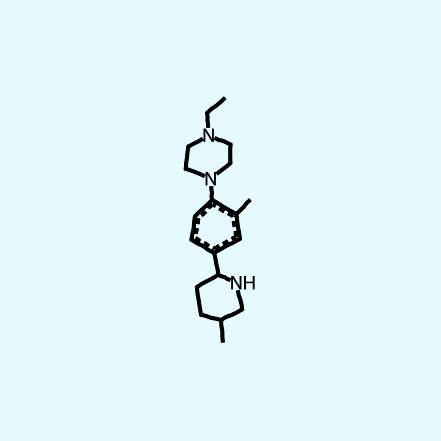 CCN1CCN(c2ccc(C3CCC(C)CN3)cc2C)CC1